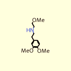 COCCNCCc1ccc(OC)c(OC)c1